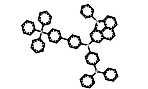 c1ccc(N(c2ccccc2)c2ccc(N(c3ccc(-c4ccc([Si](c5ccccc5)(c5ccccc5)c5ccccc5)cc4)cc3)c3cc4ccc5cccc6c5c4c(c3)n6-c3ccccc3)cc2)cc1